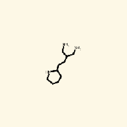 NCC(CN)CCC1CCCCN1